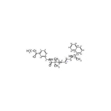 COC(=O)c1cccc(CNC(=O)C(C)(C)C#C/C=C/CN[C@H](C)c2cccc3ccccc23)c1